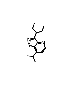 CCC(CC)c1nsc2c(C(C)C)ccnc12